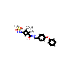 CCCC1(C(=O)NCc2ccc(Oc3ccccc3)cc2)CC(NS(=O)(=O)C(F)(F)F)C1C(=O)O